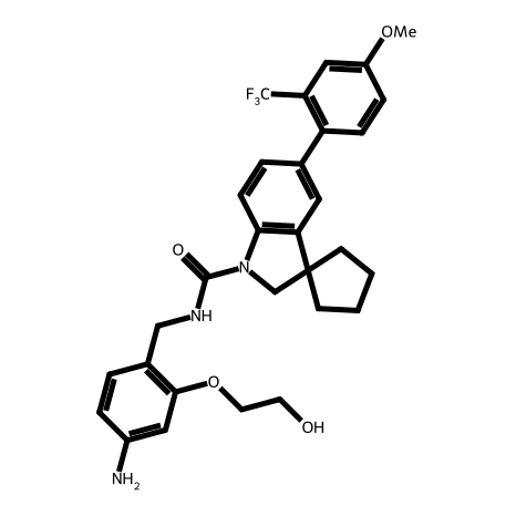 COc1ccc(-c2ccc3c(c2)C2(CCCC2)CN3C(=O)NCc2ccc(N)cc2OCCO)c(C(F)(F)F)c1